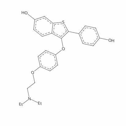 CCN(CC)CCOc1ccc(Oc2c(-c3ccc(O)cc3)sc3cc(O)ccc23)cc1